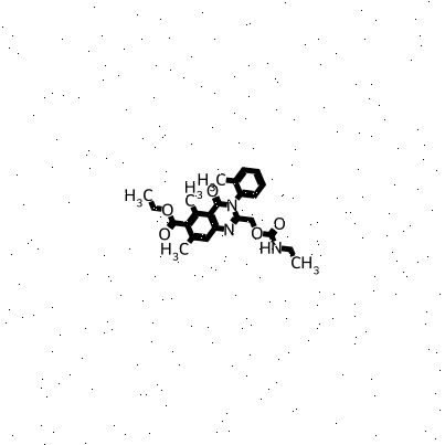 CCNC(=O)OCc1nc2cc(C)c(C(=O)OCC)c(C)c2c(=O)n1-c1ccccc1C